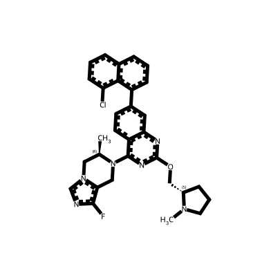 C[C@@H]1Cn2cnc(F)c2CN1c1nc(OC[C@@H]2CCCN2C)nc2cc(-c3cccc4cccc(Cl)c34)ccc12